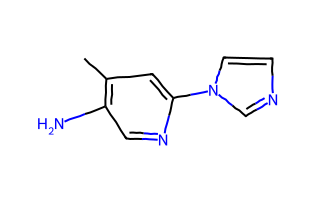 Cc1cc(-n2ccnc2)ncc1N